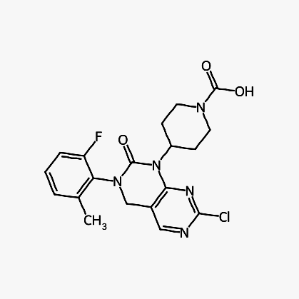 Cc1cccc(F)c1N1Cc2cnc(Cl)nc2N(C2CCN(C(=O)O)CC2)C1=O